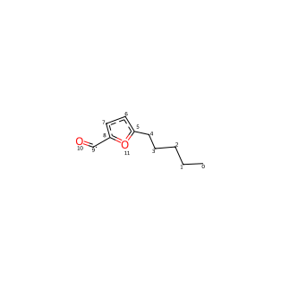 CCCCCc1ccc([C]=O)o1